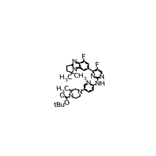 C[C@H]1CN(c2ccc(Nc3ncc(F)c(-c4cc(F)c5nc6n(c5c4)C(C)(C)CC6)n3)nc2)CCN1C(=O)OC(C)(C)C